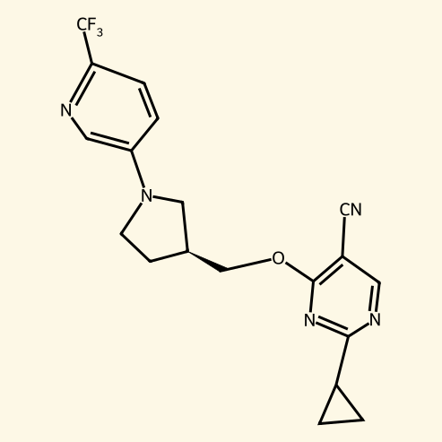 N#Cc1cnc(C2CC2)nc1OC[C@H]1CCN(c2ccc(C(F)(F)F)nc2)C1